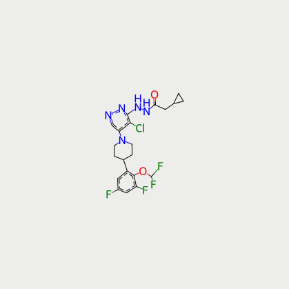 O=C(CC1CC1)NNc1nncc(N2CCC(c3cc(F)cc(F)c3OC(F)F)CC2)c1Cl